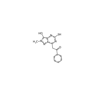 Cn1nc2c(CC(=O)c3ccccc3)nc(S)nc2c1O